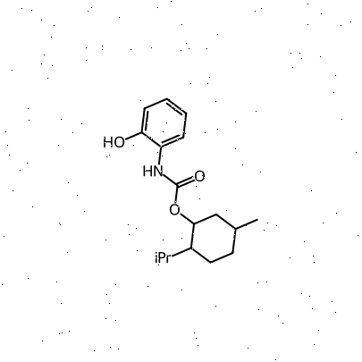 CC1CCC(C(C)C)C(OC(=O)Nc2ccccc2O)C1